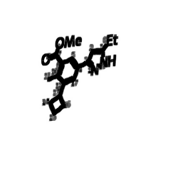 CCc1cc(-c2cc(C(=O)OC)c(C)c(C3CCC3)c2)n[nH]1